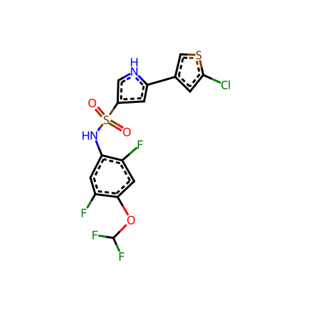 O=S(=O)(Nc1cc(F)c(OC(F)F)cc1F)c1c[nH]c(-c2csc(Cl)c2)c1